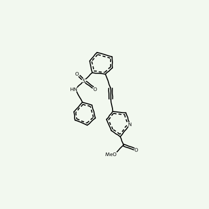 COC(=O)c1ccc(C#Cc2ccccc2S(=O)(=O)Nc2ccccc2)cn1